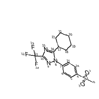 CS(=O)(=O)c1ccc(-n2nc(C(F)(F)F)nc2C2CCCCC2)cc1